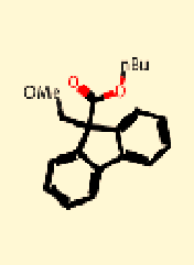 CCCCOC(=O)C1(COC)c2ccccc2-c2ccccc21